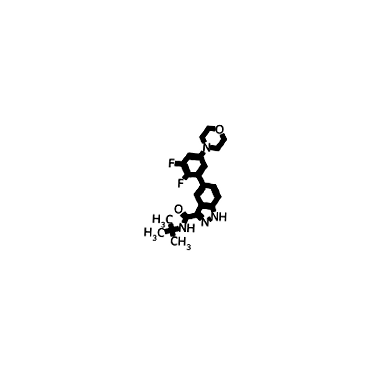 CC(C)(C)NC(=O)c1n[nH]c2ccc(-c3cc(N4CCOCC4)cc(F)c3F)cc12